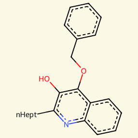 CCCCCCCc1nc2ccccc2c(OCc2ccccc2)c1O